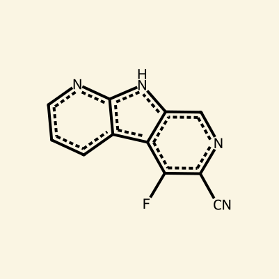 N#Cc1ncc2[nH]c3ncccc3c2c1F